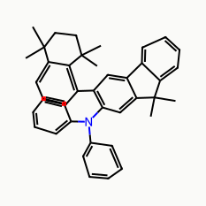 CC1(C)CCC(C)(C)c2c(-c3cc4c(cc3N(c3ccccc3)c3ccccc3)C(C)(C)c3ccccc3-4)cccc21